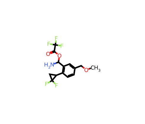 COCc1ccc(C2CC2(F)F)c(C(N)OC(=O)C(F)(F)F)c1